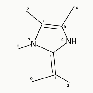 CC(C)=C1NC(C)=C(C)N1C